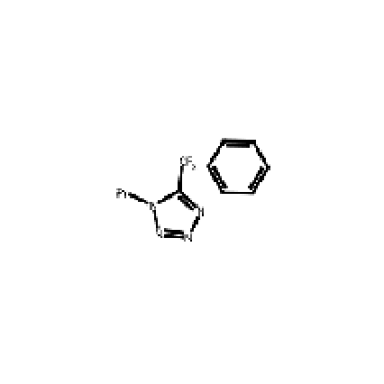 CC(C)n1nnnc1C(F)(F)F.c1ccccc1